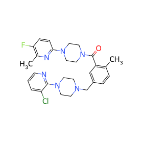 Cc1ccc(CN2CCN(c3ncccc3Cl)CC2)cc1C(=O)N1CCN(c2ccc(F)c(C)n2)CC1